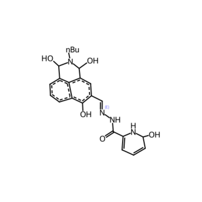 CCCCN1C(O)c2cccc3c(O)c(/C=N/NC(=O)C4=CC=CC(O)N4)cc(c23)C1O